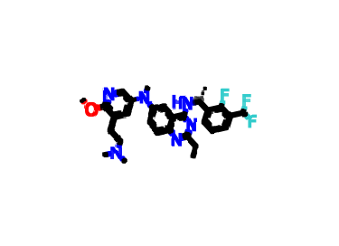 CCc1nc(N[C@H](C)c2cccc(C(F)F)c2F)c2cc(N(C)c3cnc(OC)c(CCN(C)C)c3)ccc2n1